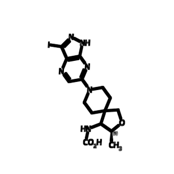 C[C@@H]1OCC2(CCN(c3cnc4c(I)n[nH]c4n3)CC2)C1NC(=O)O